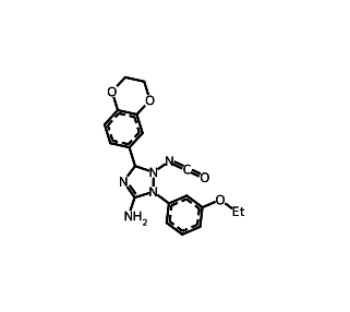 CCOc1cccc(N2C(N)=NC(c3ccc4c(c3)OCCO4)N2N=C=O)c1